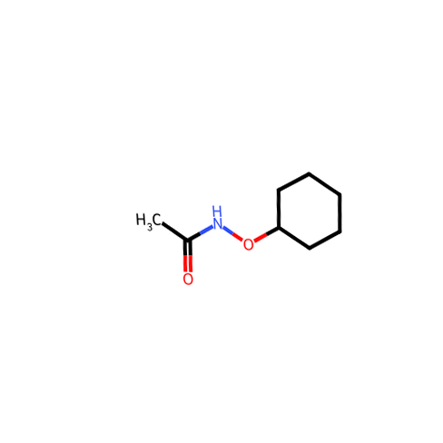 CC(=O)NOC1CCCCC1